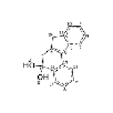 OC1(O)CC2=C(c3ccccc3C2)c2ccccc21